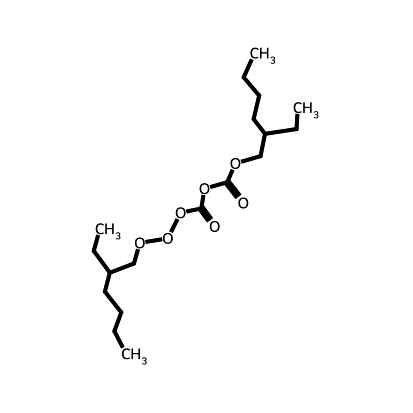 CCCCC(CC)COOOC(=O)OC(=O)OCC(CC)CCCC